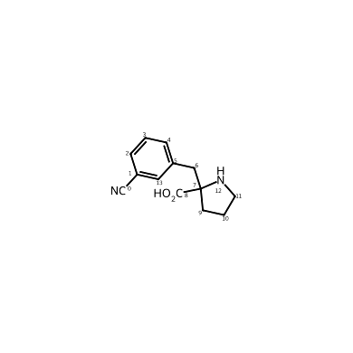 N#Cc1cccc(CC2(C(=O)O)CCCN2)c1